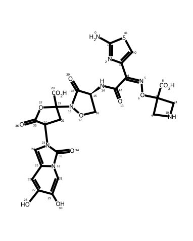 Nc1nc(/C(=N/OC2(C(=O)O)CNC2)C(=O)N[C@H]2CON(C3(C(=O)O)CC(n4cc5cc(O)c(O)cn5c4=O)C(=O)O3)C2=O)cs1